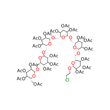 CC(=O)OC[C@H]1O[C@@H](OC[C@H]2O[C@@H](OC[C@H]3O[C@@H](OC[C@H]4O[C@@H](OC[C@H]5O[C@@H](OC[C@H]6O[C@@H](OCCCl)[C@H](OC(C)=O)[C@@H](OC(C)=O)[C@@H]6OC(C)=O)[C@H](OC(C)=O)[C@@H](OC(C)=O)[C@@H]5OC(C)=O)[C@H](OC(C)=O)[C@@H](OC(C)=O)[C@@H]4OC(C)=O)[C@H](OC(C)=O)[C@@H](OC(C)=O)[C@@H]3OC(C)=O)[C@H](OC(C)=O)[C@@H](OC(C)=O)[C@@H]2OC(C)=O)[C@H](OC(C)=O)[C@@H](OC(C)=O)[C@@H]1OC(C)=O